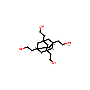 OCCC12CC3(CCO)CC(CCO)(C1)CC(CCO)(C2)C3